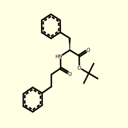 CC(C)(C)OC(=O)[C@H](Cc1ccccc1)NC(=O)CCc1ccccc1